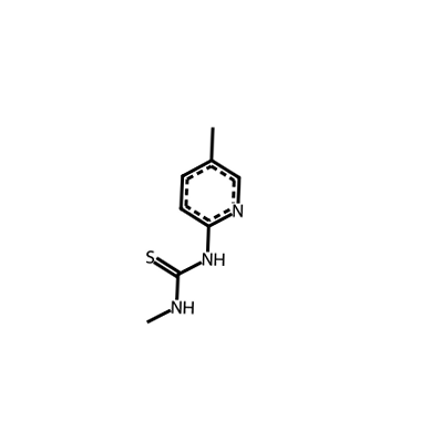 CNC(=S)Nc1ccc(C)cn1